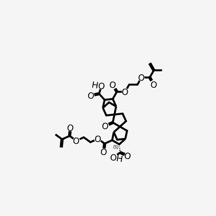 C=C(C)C(=O)OCCOC(=O)C1C(C(=O)O)C2CC1C1(CCC3(CC4CC3C(C(=O)OCCOC(=O)C(=C)C)[C@H]4C(=O)O)C1=O)C2